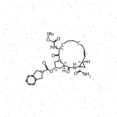 CC(C)(C)OC(=O)N[C@H]1CCCCC/C=C\[C@@H]2C[C@@]2(C(N)=O)NC(=O)[C@@H]2C[C@@H](OC(=O)N3Cc4ccccc4C3)CN2C1=O